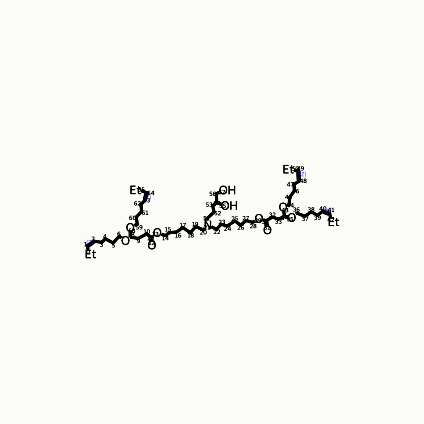 CC/C=C\CCCCOC(CCC(=O)OCCCCCCCN(CCCCCCCOC(=O)CCC(OCCCC/C=C\CC)OCCCC/C=C\CC)CCCC(O)CO)OCCCC/C=C\CC